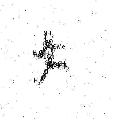 COc1cc2c(cc1OCCCOc1cc3c(cc1OC)C(=O)N1C=C(c4ccc(N5CCN(C)CC5)cc4)C[C@H]1C(=O)N3COCC[Si](C)(C)C)N(COCC[Si](C)(C)C)C(=O)[C@@H]1CC(C=CCN)=CN1C2=O